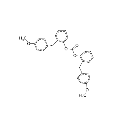 COc1ccc(Cc2ccccc2OC(=O)Oc2ccccc2Cc2ccc(OC)cc2)cc1